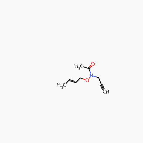 C#CCN(OCC=CC)C(C)=O